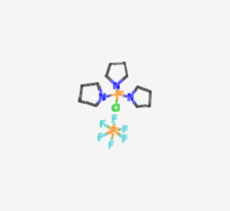 Cl[P+](N1CCCC1)(N1CCCC1)N1CCCC1.F[P-](F)(F)(F)(F)F